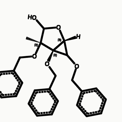 C[C@]1(OCc2ccccc2)C(O)O[C@@H]2C(OCc3ccccc3)[C@@]21OCc1ccccc1